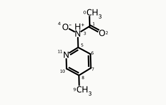 CC(=O)[NH+]([O-])c1ccc(C)cn1